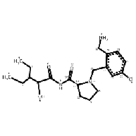 CCC(CC)C(O)C(=O)NC(=O)[C@@H]1CCCN1Cc1cc(Cl)ccc1CN